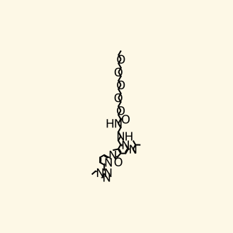 CCOCCOCCOCCOCCOCC(=O)NCCNCc1nc(N(C)C(C)C)cc2c1CN(c1cccc(-c3nncn3CC)n1)C2=O